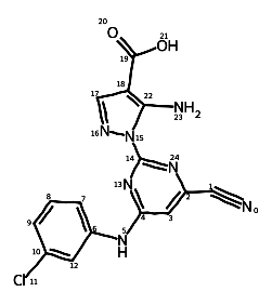 N#Cc1cc(Nc2cccc(Cl)c2)nc(-n2ncc(C(=O)O)c2N)n1